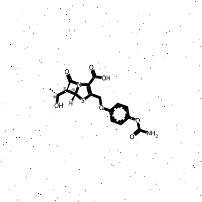 C[C@@H](O)[C@H]1C(=O)N2C(C(=O)O)=C(COc3ccc(OC(N)=O)cc3)S[C@H]12